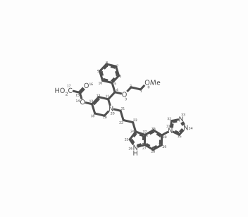 COCCOC(c1ccccc1)C1C=C(OC(=O)C(=O)O)CCN1CCCc1c[nH]c2ccc(-n3cnnc3)cc12